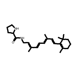 CC(C=CC1=C(C)CCCC1(C)C)=CC=CC(C)=CCNC(=O)C1CCCN1